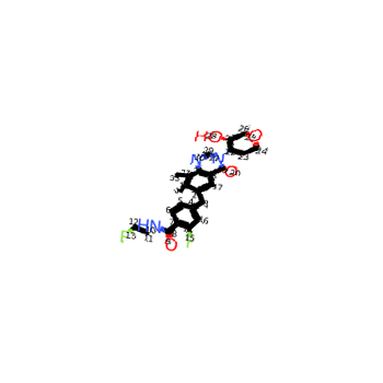 Cc1c(Cc2ccc(C(=O)NCCF)c(F)c2)cc2c(=O)n([C@H]3CCOC[C@@H]3O)cnc2c1C